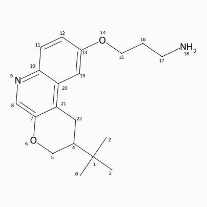 CC(C)(C)C1COc2cnc3ccc(OCCCN)cc3c2C1